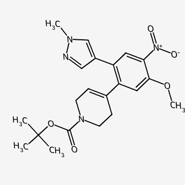 COc1cc(C2=CCN(C(=O)OC(C)(C)C)CC2)c(-c2cnn(C)c2)cc1[N+](=O)[O-]